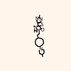 CNc1c(C(=O)NCCC2CCCCC(N3CCC(C)CC3)CCCC2)sc2nc(C)ncc12